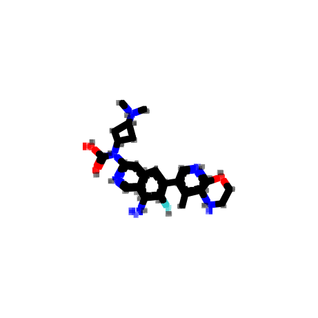 Cc1c(-c2cc3cc(N(C(=O)O)C4CC(N(C)C)C4)ncc3c(N)c2F)cnc2c1NCCO2